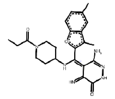 CCC(=O)N1CCC(N/C(=C2\C(=N)C(=O)NN=C2N)c2oc3ccc(C)cc3c2C)CC1